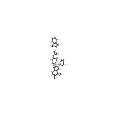 Cn1c(CCNCc2ccc(-c3nc4cc[nH]c(=O)c4cc3-c3ccccc3)cc2)nc2ccccc21